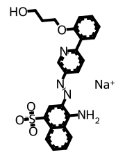 Nc1c(N=Nc2ccc(-c3ccccc3OCCCO)nc2)cc(S(=O)(=O)[O-])c2ccccc12.[Na+]